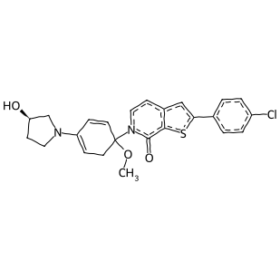 COC1(n2ccc3cc(-c4ccc(Cl)cc4)sc3c2=O)C=CC(N2CC[C@@H](O)C2)=CC1